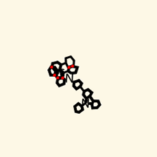 c1ccc(-n2c3ccccc3c3ccc(-c4ccc(N(c5ccccc5-c5cccc6cccc(C7CCCCC7)c56)c5cccc6c5sc5ccccc56)cc4)cc32)cc1